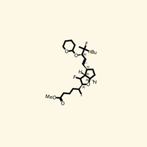 CCCCC(C)(F)[C@@H](/C=C/[C@H]1CC[C@H]2O[C@@H](C(I)CCCC(=O)OC)C(F)[C@H]12)OC1CCCCO1